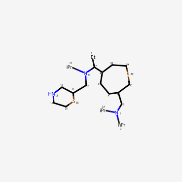 CCCN(CC1CCC(C(CC)N(CC2CNCCS2)C(C)C)CCSC1)C(C)C